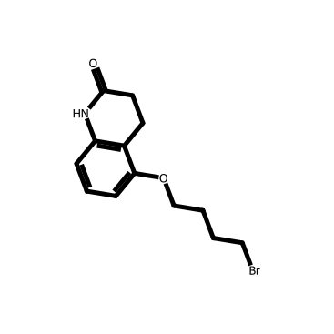 O=C1CCc2c(cccc2OCCCCBr)N1